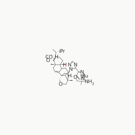 CC(C)[C@@H](C)[C@@]1(C)CC[C@]2(C)[C@H]3CC[C@@H]4[C@@]5(COC[C@@]4(C)[C@@H](OC[C@](C)(N)C(C)(C)C)[C@H](n4ncnc4-c4ccncn4)C5)C3=CC[C@]2(C)[C@@H]1OC(=O)O